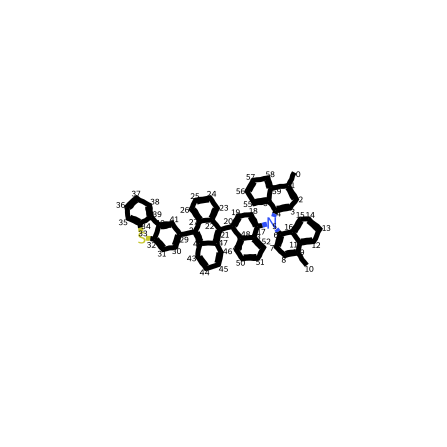 Cc1ccc(N(c2ccc(C)c3ccccc23)c2ccc(-c3c4ccccc4c(-c4ccc5sc6ccccc6c5c4)c4ccccc34)c3ccccc23)c2ccccc12